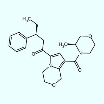 CC[C@@H](CC(=O)c1cc(C(=O)N2CCOC[C@@H]2C)c2n1CCOC2)c1ccccc1